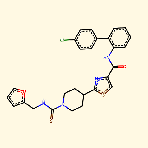 O=C(Nc1ccccc1-c1ccc(Cl)cc1)c1csc(C2CCN(C(=S)NCc3ccco3)CC2)n1